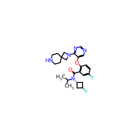 CC(C)N(C(=O)c1cc(F)ccc1Oc1cncnc1N1CC2(CCNCC2)C1)[C@H]1C[C@H](F)C1